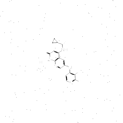 C[C@@H](Nc1cc(=O)n(C)c2ncc(Nc3ccnc(Cl)c3C#N)cc12)C1CC1